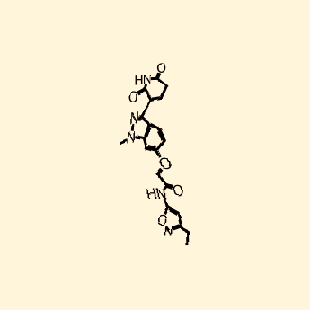 CCc1cc(NC(=O)COc2ccc3c(C4CCC(=O)NC4=O)nn(C)c3c2)on1